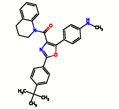 CNc1ccc(-c2oc(-c3ccc(C(C)(C)C)cc3)nc2C(=O)N2CCCc3ccccc32)cc1